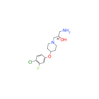 NC[C@@H](O)CN1CCC(Oc2ccc(Cl)c(F)c2)CC1